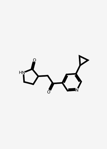 O=C(CC1CCNC1=O)c1cncc(C2CC2)c1